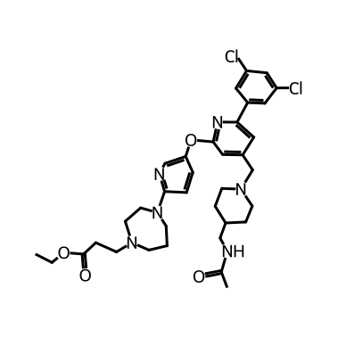 CCOC(=O)CCN1CCCN(c2ccc(Oc3cc(CN4CCC(CNC(C)=O)CC4)cc(-c4cc(Cl)cc(Cl)c4)n3)cn2)CC1